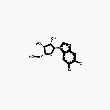 OC[C@H]1O[C@H](n2cnc3cc(Cl)c(Cl)cc32)[C@@H](O)[C@H]1O